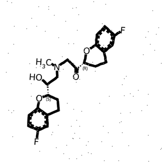 CN(CC(=O)[C@H]1CCc2cc(F)ccc2O1)CC(O)[C@@H]1CCc2cc(F)ccc2O1